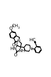 C#Cc1ccccc1N1CCC(C2(CN3Cc4cc(OC)ccc4C3=O)NC(=O)NC2=O)CC1